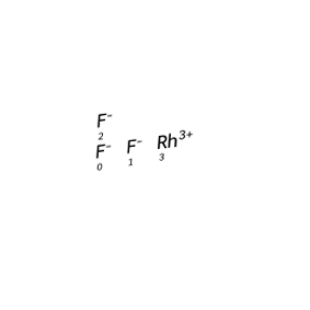 [F-].[F-].[F-].[Rh+3]